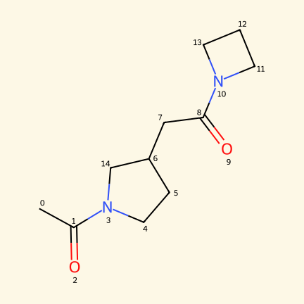 CC(=O)N1CCC(CC(=O)N2CCC2)C1